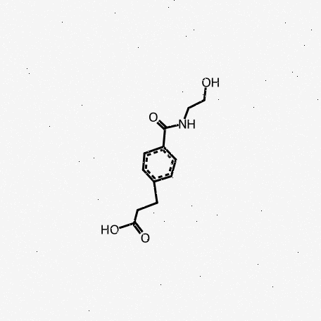 O=C(O)CCc1ccc(C(=O)NCCO)cc1